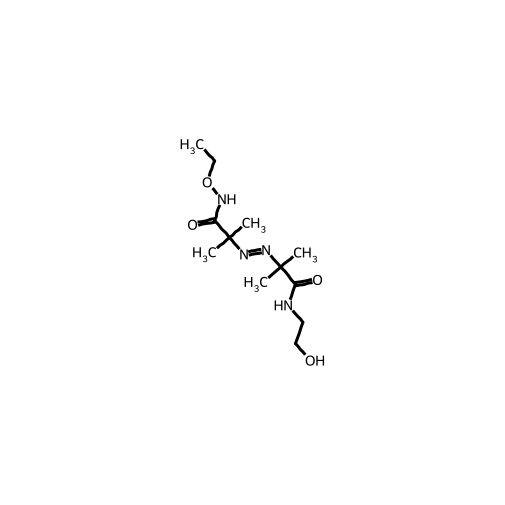 CCONC(=O)C(C)(C)N=NC(C)(C)C(=O)NCCO